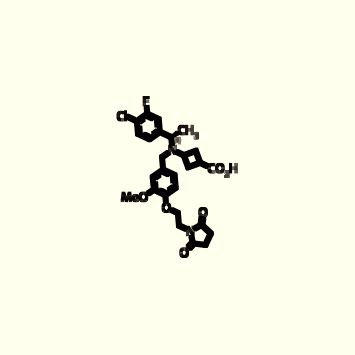 COc1cc(CN(C2CC(C(=O)O)C2)[C@H](C)c2ccc(Cl)c(F)c2)ccc1OCCN1C(=O)CCC1=O